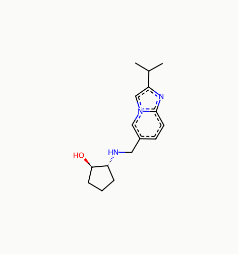 CC(C)c1cn2cc(CN[C@@H]3CCC[C@H]3O)ccc2n1